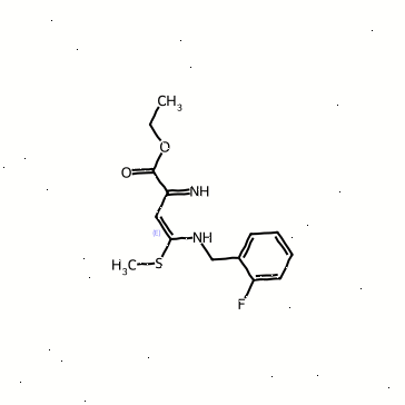 CCOC(=O)C(=N)/C=C(\NCc1ccccc1F)SC